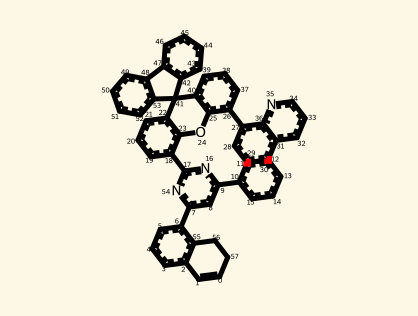 C1=Cc2cccc(-c3cc(-c4ccccc4)nc(-c4cccc5c4Oc4c(-c6cccc7cccnc67)cccc4C54c5ccccc5-c5ccccc54)n3)c2CC1